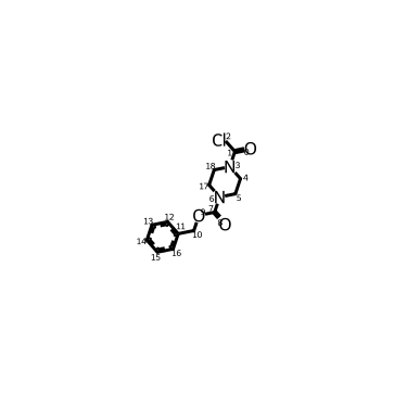 O=C(Cl)N1CCN(C(=O)OCc2ccccc2)CC1